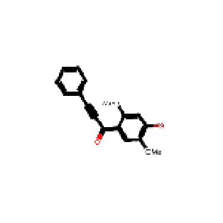 COc1cc(C(=O)C#Cc2ccccc2)c(OC)cc1Br